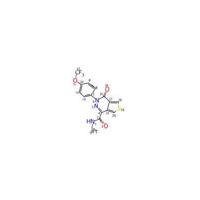 CC(C)NC(=O)c1nn(-c2ccc(OC(F)(F)F)cc2)c(=O)c2cscc12